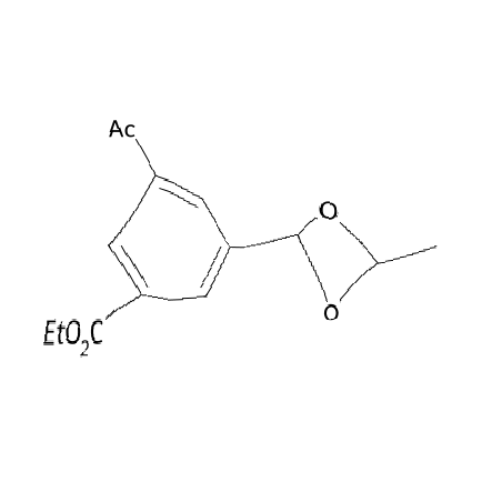 CCOC(=O)c1cc(C(C)=O)cc(C2OC(C)O2)c1